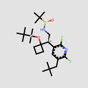 CC(C)(C)Cc1cc([C@H](CN[S+]([O-])C(C)(C)C)C2(O[Si](C)(C)C(C)(C)C)CCC2)c(F)nc1F